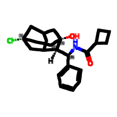 O=C(N[C@@H](c1ccccc1)[C@H]1C2CC3C[C@](Cl)(C2)C[C@@]1(O)C3)C1CCC1